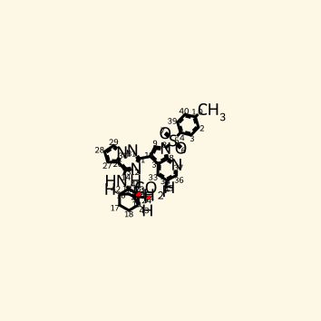 Cc1ccc(S(=O)(=O)n2cc(-c3nc(N[C@H]4[C@@H]5CC[C@H]([C@@H]4C(=O)O)C(F)(F)C5)c4cccn4n3)c3cc(F)cnc32)cc1